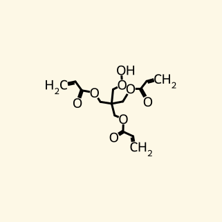 C=CC(=O)OCC(COO)(COC(=O)C=C)COC(=O)C=C